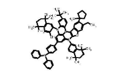 CCc1cc2oc3c(c2cc1C1(C)CCCC1)B1c2ccc(C(C)(C)C)cc2N(c2cc4c(cc2C)C(C)(C)CCC4(C)C)c2cc(-c4ccc(N(c5ccccc5)c5ccccc5)cc4)cc(c21)N3c1ccc2c(c1)C(C)(C)CCC2(C)C